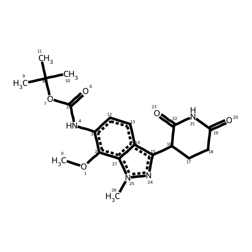 COc1c(NC(=O)OC(C)(C)C)ccc2c(C3CCC(=O)NC3=O)nn(C)c12